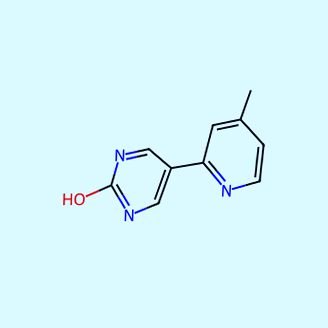 Cc1ccnc(-c2cnc(O)nc2)c1